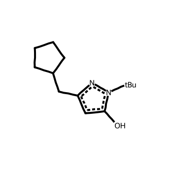 CC(C)(C)n1nc(CC2CCCC2)cc1O